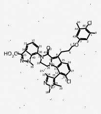 Cc1cc(OCCCc2c3n(c4c(-c5c(C)nn(C)c5C)c(Cl)ccc24)[C@H](C)CN(c2cccc4c(C(=O)O)nn(C)c24)C3=O)cc(C)c1Cl